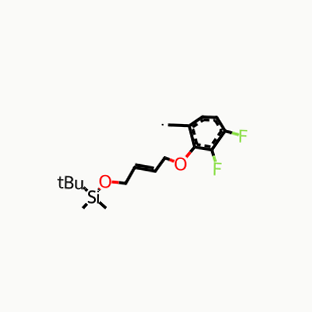 [CH2]c1ccc(F)c(F)c1OCC=CCO[Si](C)(C)C(C)(C)C